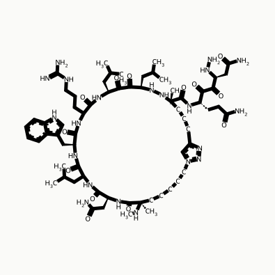 CN[C@]1(C)CCCCCn2cc(nn2)CCC[C@@](C)(C(=O)N[C@@H](CCC(N)=O)C(=O)C(=O)[C@H](CC(N)=O)NN)NN[C@H](CC(C)C)C(=O)C(=O)[C@H](CC(C)C)NC(=O)C(CCCNC(=N)N)NC(=O)[C@H](Cc2c[nH]c3ccccc23)NC(=O)C(CC(C)C)NC(=O)[C@H](CC(N)=O)NC1=O